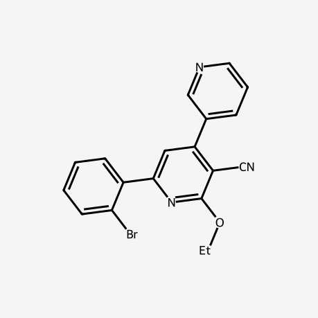 CCOc1nc(-c2ccccc2Br)cc(-c2cccnc2)c1C#N